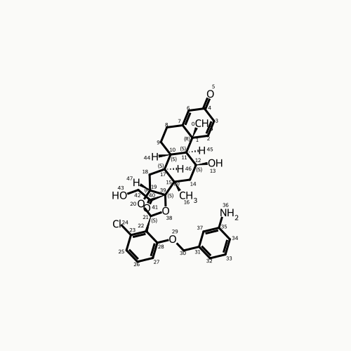 C[C@]12C=CC(=O)C=C1CC[C@@H]1[C@@H]2[C@@H](O)C[C@@]2(C)[C@H]1C[C@H]1O[C@H](c3c(Cl)cccc3OCc3cccc(N)c3)O[C@]12C(=O)CO